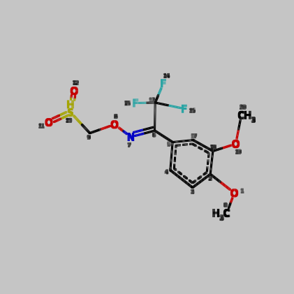 COc1ccc(C(=NOC[SH](=O)=O)C(F)(F)F)cc1OC